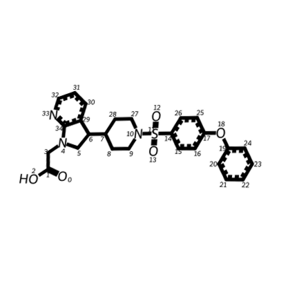 O=C(O)CN1CC(C2CCN(S(=O)(=O)c3ccc(Oc4ccccc4)cc3)CC2)c2cccnc21